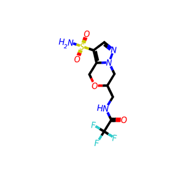 NS(=O)(=O)c1cnn2c1COC(CNC(=O)C(F)(F)F)C2